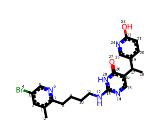 Cc1cc(Br)cnc1CCCCNc1ncc(C(C)c2ccc(O)nc2)c(=O)[nH]1